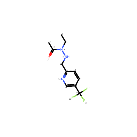 CCN(NCc1ccc(C(F)(F)F)cn1)C(C)=O